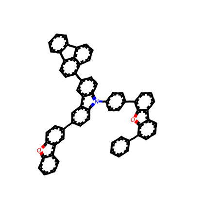 c1ccc(-c2cccc3c2oc2c(-c4ccc(-n5c6ccc(-c7ccc8oc9ccccc9c8c7)cc6c6cc(-c7ccc8c9c(cccc79)-c7ccccc7-8)ccc65)cc4)cccc23)cc1